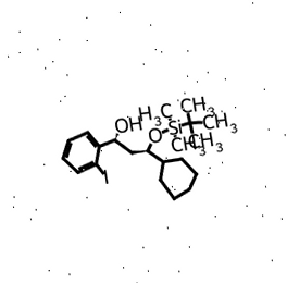 CC(C)(C)[Si](C)(C)O[C@H](C[C@@H](O)c1ccccc1I)C1CCCCC1